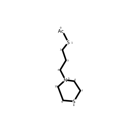 CC(=O)SCCCN1CCSCC1